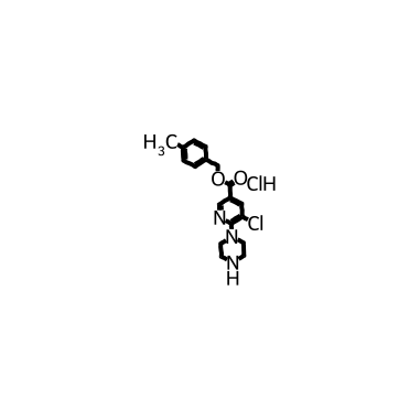 Cc1ccc(COC(=O)c2cnc(N3CCNCC3)c(Cl)c2)cc1.Cl